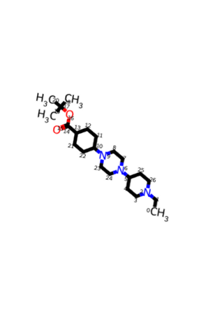 CCN1CCC(N2CCN(C3CCC(C(=O)OC(C)(C)C)CC3)CC2)CC1